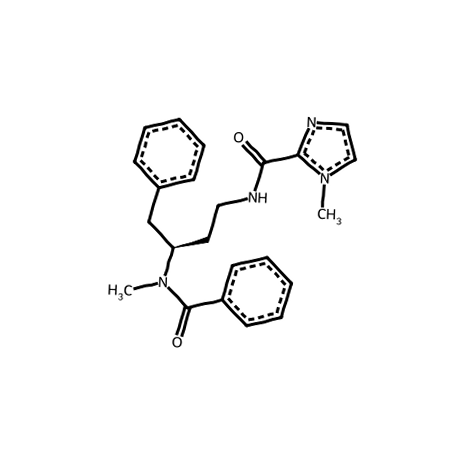 CN(C(=O)c1ccccc1)[C@H](CCNC(=O)c1nccn1C)Cc1ccccc1